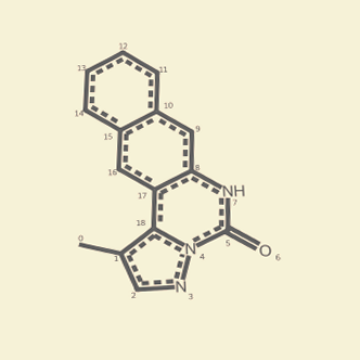 Cc1cnn2c(=O)[nH]c3cc4ccccc4cc3c12